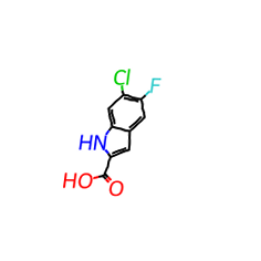 O=C(O)c1cc2cc(F)c(Cl)cc2[nH]1